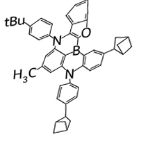 Cc1cc2c3c(c1)N(c1ccc(C(C)(C)C)cc1)c1c(oc4ccccc14)B3c1cc(C3CC4CC3C4)ccc1N2c1ccc(C2CC3CC2C3)cc1